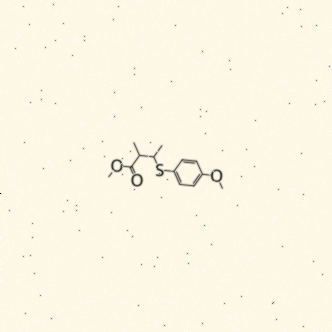 COC(=O)C(C)C(C)Sc1ccc(OC)cc1